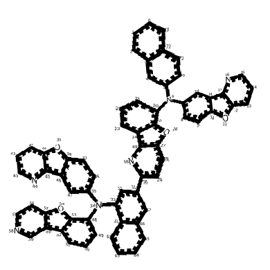 c1ccc2cc(N(c3ccc4oc5cccnc5c4c3)c3cccc4c3oc3ccc(-c5cc(N(c6ccc7oc8cccnc8c7c6)c6cccc7c6oc6ccncc67)c6ccccc6c5)nc34)ccc2c1